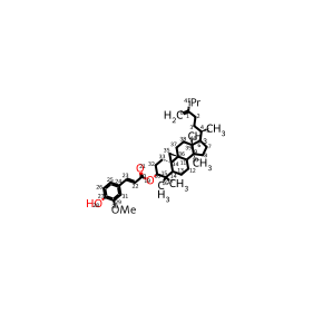 C=C(CC[C@@H](C)C1CC[C@@]2(C)C3CCC4C(C)(C)[C@@H](OC(=O)/C=C/c5ccc(O)c(OC)c5)CC[C@@]45C[C@@]35CC[C@]12C)C(C)C